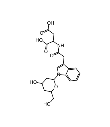 O=C(O)CC(NC(=O)Cc1cn(C2CC(O)CC(CO)O2)c2ccccc12)C(=O)O